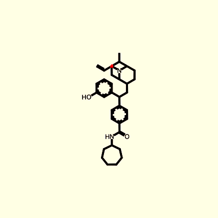 C=CCN1C2CCC(CC(c3ccc(C(=O)NC4CCCCCC4)cc3)c3cccc(O)c3)C1CCC2C